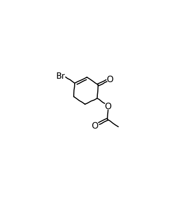 CC(=O)OC1CCC(Br)=CC1=O